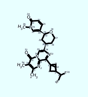 Cc1nc2c(C34CC(C(F)F)(C3)C4)nc([C@@H]3CCO[C@H](c4ccc(=O)n(C)c4)C3)cn2c(=O)c1C